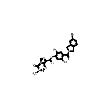 CC(C)c1cc(C(=O)N2Cc3ccc(Br)cc3C2)c(O)cc1OC(=O)c1ncn2c(=O)n(C)nnc12